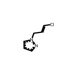 ClC=CCn1cccn1